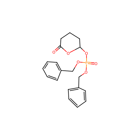 O=C1CCCC(OP(=O)(OCc2ccccc2)OCc2ccccc2)O1